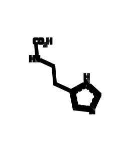 O=C(O)NCCc1cnc[nH]1